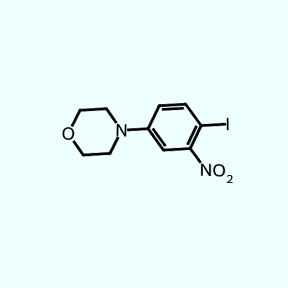 O=[N+]([O-])c1cc(N2CCOCC2)ccc1I